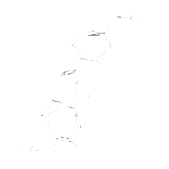 CCCCCCCCCCOc1ccc(C(=O)Oc2ccc(CCCCCCC)cc2)cc1